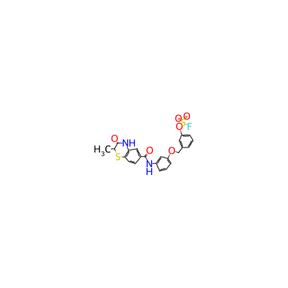 CC1Sc2ccc(C(=O)Nc3cccc(OCc4cccc(OS(=O)(=O)F)c4)c3)cc2NC1=O